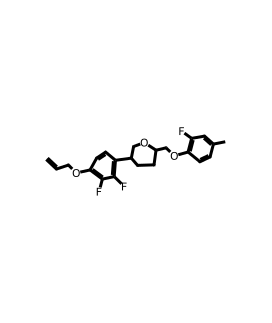 C=CCOc1ccc(C2CCC(COc3ccc(C)cc3F)OC2)c(F)c1F